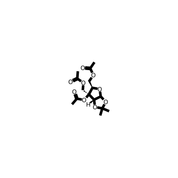 CC(=O)OC[C@H]1OC2OC(C)(C)O[C@@H]2[C@@]1(COC(C)=O)OC(C)=O